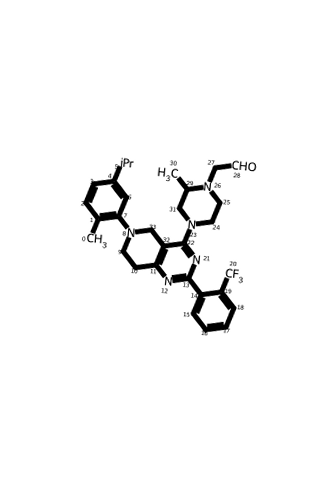 Cc1ccc(C(C)C)cc1N1CCc2nc(-c3ccccc3C(F)(F)F)nc(N3CCN(CC=O)C(C)C3)c2C1